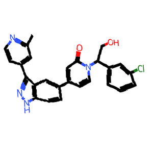 Cc1cc(-c2n[nH]c3ccc(-c4ccn(C(CO)c5cccc(Cl)c5)c(=O)c4)cc23)ccn1